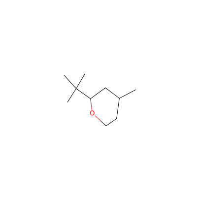 CC1CCOC(C(C)(C)C)C1